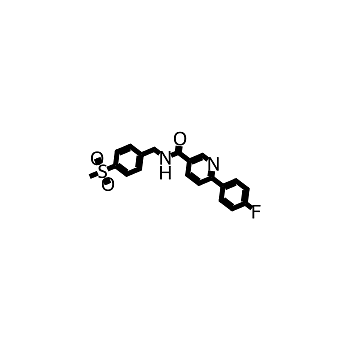 CS(=O)(=O)c1ccc(CNC(=O)c2ccc(-c3ccc(F)cc3)nc2)cc1